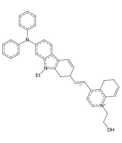 CCn1c2c(c3ccc(N(c4ccccc4)c4ccccc4)cc31)C=CC(/C=C/c1cc[n+](CCO)c3c1CCC=C3)C2